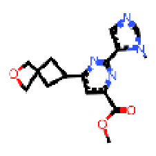 COC(=O)c1cc(C2CC3(COC3)C2)nc(-c2cncn2C)n1